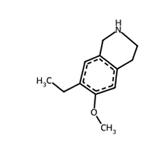 CCc1cc2c(cc1OC)CCNC2